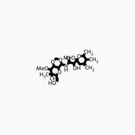 C=C1CC(OC)(C(O)C(=O)NC2OCOC3C2OC(CO)C(C)(C)C3OC)OC(C)C1C